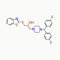 OC(CSc1nc2ccccc2s1)CN1CCN(C(c2ccc(F)cc2)c2ccc(F)cc2)CC1